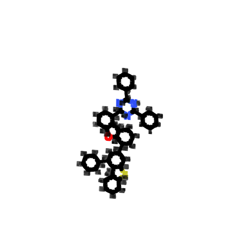 c1ccc(-c2nc(-c3ccccc3)nc(-c3cccc4oc5c(-c6cc(-c7ccccc7)c7c(c6)sc6ccccc67)cccc5c34)n2)cc1